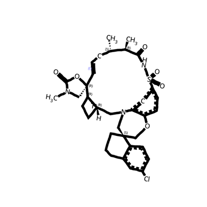 C[C@H]1C/C=C/[C@@]2(CN(C)C(=O)O2)[C@@H]2CC[C@H]2CN2C[C@@]3(CCCc4cc(Cl)ccc43)COc3ccc(cc32)S(=O)(=O)NC(=O)[C@@H]1C